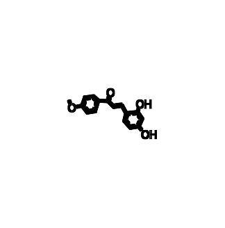 COc1ccc(C(=O)C=Cc2ccc(O)cc2O)cc1